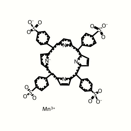 O=S(=O)([O-])c1ccc(-c2c3nc(c(-c4ccc(S(=O)(=O)[O-])cc4)c4ccc([n-]4)c(-c4ccc(S(=O)(=O)[O-])cc4)c4ccc([n-]4)c(-c4ccc(S(=O)(=O)[O-])cc4)c4nc2C=C4)C=C3)cc1.[Mn+3]